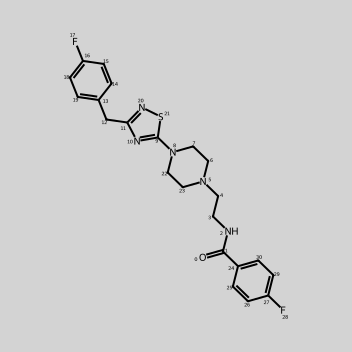 O=C(NCCN1CCN(c2nc(Cc3ccc(F)cc3)ns2)CC1)c1ccc(F)cc1